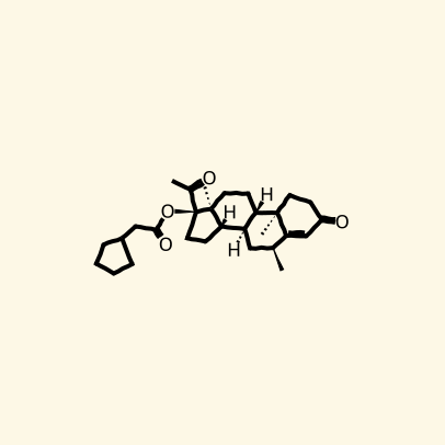 CC(=O)[C@@]1(OC(=O)CC2CCCC2)CC[C@H]2[C@@H]3C[C@H](C)C4=CC(=O)CC[C@]4(C)[C@H]3CC[C@@]21C